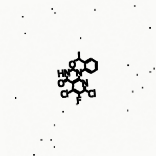 CC(C)c1ccccc1-n1c(=O)[nH]c(=O)c2c(Cl)c(F)c(Cl)nc21